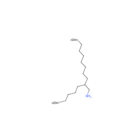 CCCCCCCCCCCCCCCCCC(CN)CCCCCCCCCCCCCC